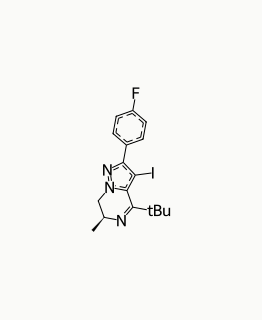 C[C@H]1Cn2nc(-c3ccc(F)cc3)c(I)c2C(C(C)(C)C)=N1